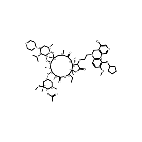 CC[C@H]1OC(=O)[C@H](C)[C@@H](O[C@H]2C[C@@](C)(OC)[C@@H](OC(C)=O)[C@H](C)O2)[C@H](C)[C@@H](O[C@@H]2O[C@H](C)C[C@@H](N3CCOCC3)[C@@H]2N(C)C)[C@](C)(OC)C[C@@H](C)C(=O)[C@H](C)[C@H]2C(SCCN(Cc3c(Cl)cncc3Cl)c3ccc(OC)c(OC4CCCC4)c3)C(=O)O[C@@]21C